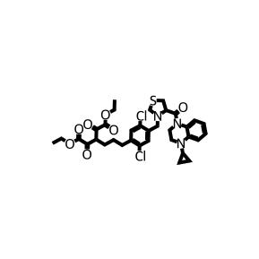 CCOC(=O)C(=O)C(CCCc1cc(Cl)c(CN2CSCC2C(=O)N2CCN(C3CC3)c3ccccc32)cc1Cl)C(=O)C(=O)OCC